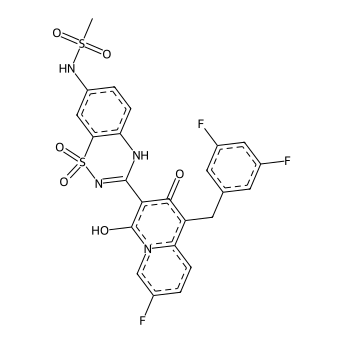 CS(=O)(=O)Nc1ccc2c(c1)S(=O)(=O)N=C(c1c(O)n3cc(F)ccc3c(Cc3cc(F)cc(F)c3)c1=O)N2